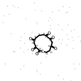 O=C1CCCC(=O)C(=O)CC(=O)CCCC(=O)C(=O)C1